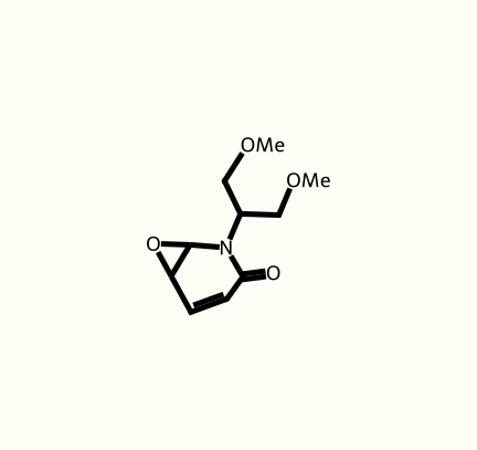 COCC(COC)N1C(=O)C=CC2OC21